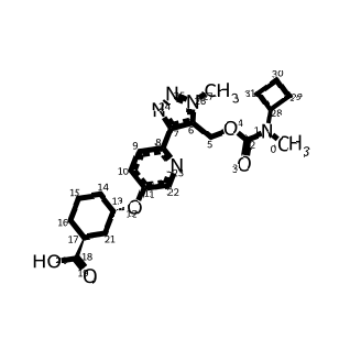 CN(C(=O)OCc1c(-c2ccc(O[C@H]3CCC[C@H](C(=O)O)C3)cn2)nnn1C)C1CCC1